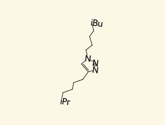 CCC(C)CCCCn1cc(CCCCC(C)C)nn1